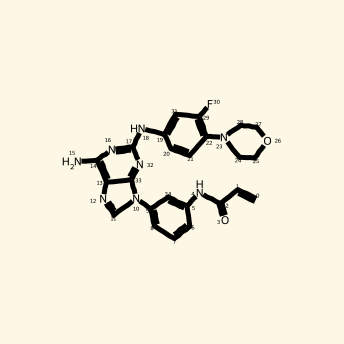 C=CC(=O)Nc1cccc(-n2cnc3c(N)nc(Nc4ccc(N5CCOCC5)c(F)c4)nc32)c1